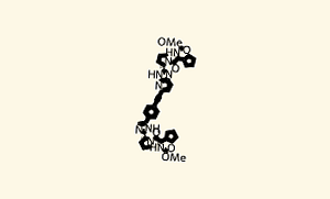 COC(=O)N[C@H](C(=O)N1CCC[C@H]1c1ncc(-c2ccc(C#Cc3ccc4nc([C@@H]5CCCN5C(=O)[C@@H](NC(=O)OC)C5CCCC5)[nH]c4n3)cc2)[nH]1)C1CCCC1